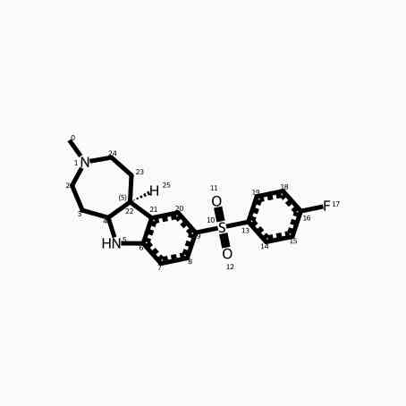 CN1CCC2Nc3ccc(S(=O)(=O)c4ccc(F)cc4)cc3[C@@H]2CC1